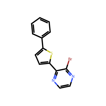 Brc1nccnc1-c1ccc(-c2ccccc2)s1